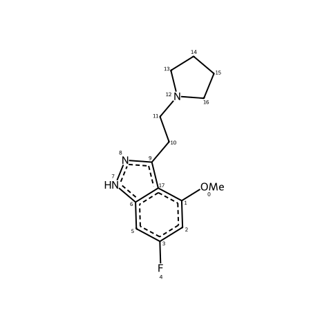 COc1cc(F)cc2[nH]nc(CCN3CCCC3)c12